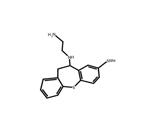 CSc1ccc2c(c1)C(NCCN)Cc1ccccc1S2